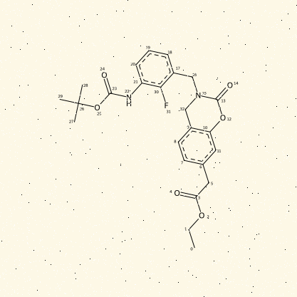 CCOC(=O)Cc1ccc2c(c1)OC(=O)N(Cc1cccc(NC(=O)OC(C)(C)C)c1F)C2